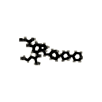 CCCC(CCO)Nc1nc(NC(=O)OC)nc2cnn(Cc3ccc(C4CCN(C5CCOCC5)CC4)nc3)c12